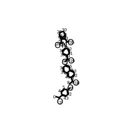 CC(=O)c1ccc(OCC(=O)c2ccc3cc(OC(=O)c4ccc(N5C(=O)C6C7CCC(C7)C6C5=O)cc4)ccc3c2)cc1